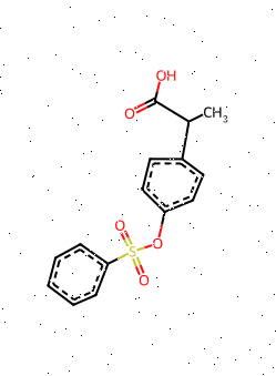 CC(C(=O)O)c1ccc(OS(=O)(=O)c2ccccc2)cc1